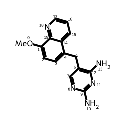 COc1ccc(Cc2cnc(N)nc2N)c2cccnc12